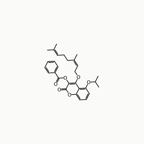 CC(C)=CCCC(C)=CCOc1c(OC(=O)c2ccccc2)c(=O)oc2cccc(OC(C)C)c12